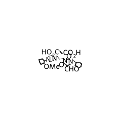 COc1ccccc1N1CCN(CCCn2c(=O)c(C=O)cn(Cc3ccccc3)c2=O)CC1.O=C(O)/C=C/C(=O)O